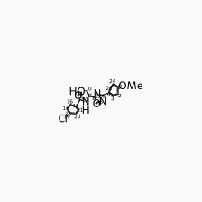 COc1ccc(-c2noc(C(CO)NC(=O)c3ccc(Cl)cc3)n2)cc1